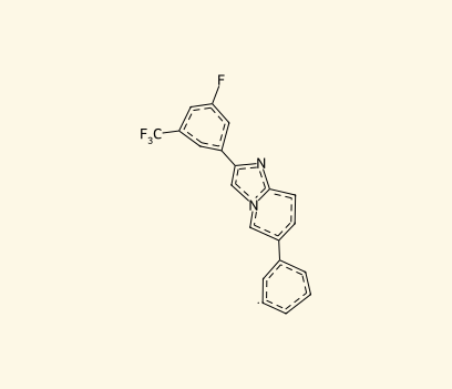 Fc1cc(-c2cn3cc(-c4c[c]ccc4)ccc3n2)cc(C(F)(F)F)c1